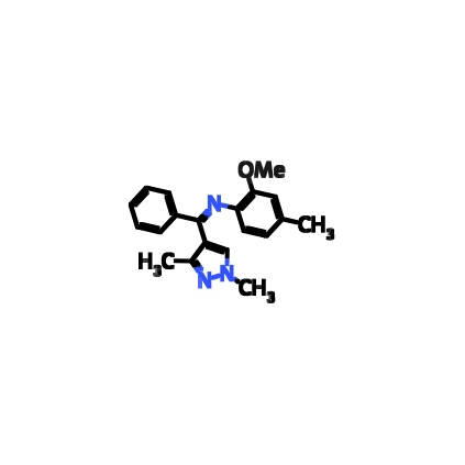 COc1cc(C)ccc1N=C(c1ccccc1)c1cn(C)nc1C